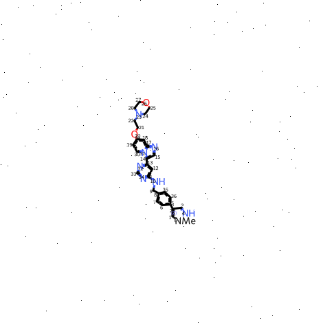 CN/C=C(\C=N)c1ccc(CNc2cc(-c3cnc4cc(OCCN5CCOCC5)ccn34)ncn2)cc1